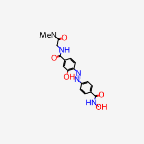 CNC(=O)CNC(=O)c1ccc(/N=N/c2ccc(C(=O)NO)cc2)c(O)c1